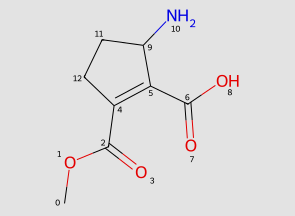 COC(=O)C1=C(C(=O)O)C(N)CC1